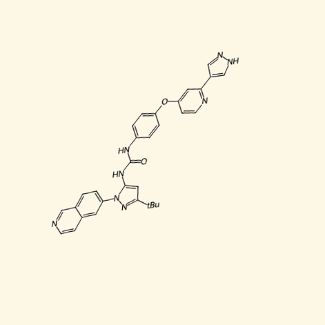 CC(C)(C)c1cc(NC(=O)Nc2ccc(Oc3ccnc(-c4cn[nH]c4)c3)cc2)n(-c2ccc3cnccc3c2)n1